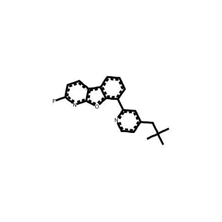 CC(C)(C)Cc1ccnc(-c2cccc3c2oc2nc(F)ccc23)c1